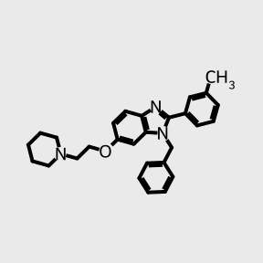 Cc1cccc(-c2nc3ccc(OCCN4CCCCC4)cc3n2Cc2ccccc2)c1